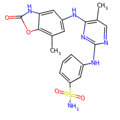 Cc1cnc(Nc2cccc(S(N)(=O)=O)c2)nc1Nc1cc(C)c2oc(=O)[nH]c2c1